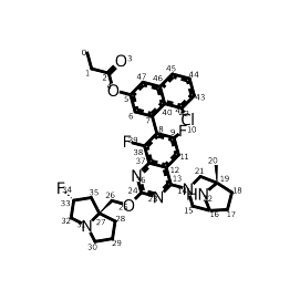 CCC(=O)Oc1cc(-c2c(F)cc3c(N4CC5CC[C@@](C)(C4)N5)nc(OC[C@@]45CCCN4C[C@H](F)C5)nc3c2F)c2c(Cl)cccc2c1